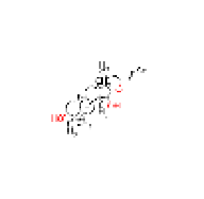 CC(=O)/C=C/[C@H]1C[C@@H](C)C2C(O1)[C@H](O)[C@@]1(C)[C@@H]3CC[C@H]4C(C)(C)[C@@H](O)CC[C@@]45C[C@@]35CC[C@]21C